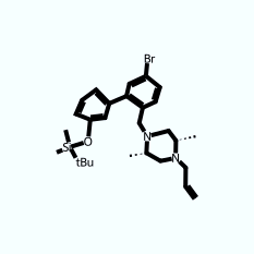 C=CCN1C[C@H](C)N(Cc2ccc(Br)cc2-c2cccc(O[Si](C)(C)C(C)(C)C)c2)C[C@@H]1C